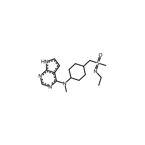 CCN=S(C)(=O)CC1CCC(N(C)c2ncnc3[nH]ccc23)CC1